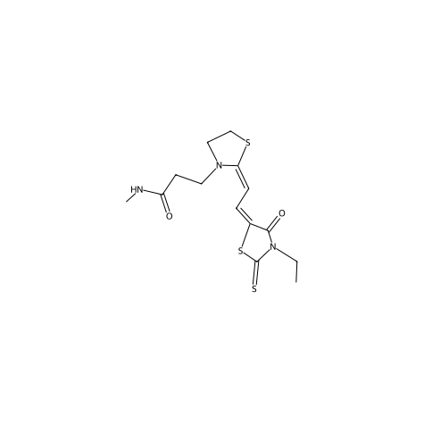 CCN1C(=O)/C(=C\C=C2\SCCN2CCC(=O)NC)SC1=S